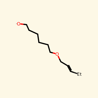 CC/C=C/COCCCCCC[O]